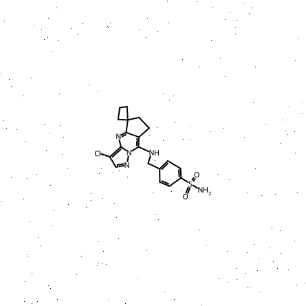 NS(=O)(=O)c1ccc(CNc2c3c(nc4c(Cl)cnn24)C2(CCC2)CC3)cc1